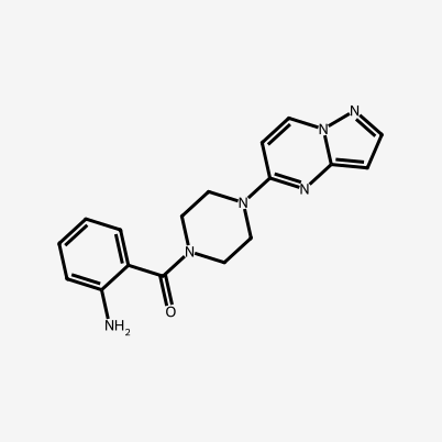 Nc1ccccc1C(=O)N1CCN(c2ccn3nccc3n2)CC1